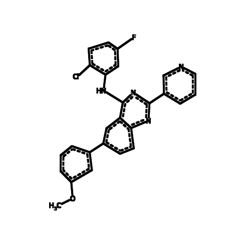 COc1cccc(-c2ccc3nc(-c4cccnc4)nc(Nc4cc(F)ccc4Cl)c3c2)c1